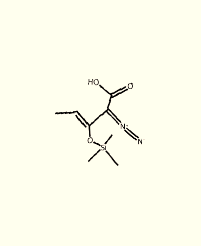 C/C=C(\O[Si](C)(C)C)C(=[N+]=[N-])C(=O)O